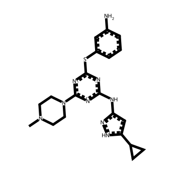 CN1CCN(c2nc(Nc3cc(C4CC4)[nH]n3)nc(Sc3cccc(N)c3)n2)CC1